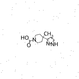 CC1(c2cc[nH]n2)CCN(C(=O)O)CC1